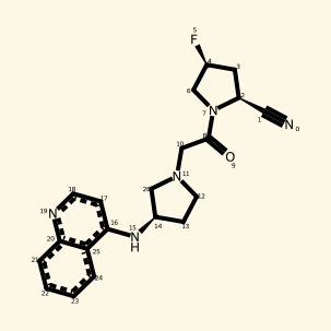 N#C[C@@H]1C[C@H](F)CN1C(=O)CN1CC[C@@H](Nc2ccnc3ccccc23)C1